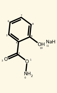 NOC(=O)c1ccccc1O.[NaH]